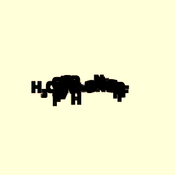 CC(C)c1cc(F)ccc1N1CCS/C1=N\C(=O)N/C=C/c1ccc(-c2ncn(-c3ccc(OC(F)(F)F)cc3)n2)cc1